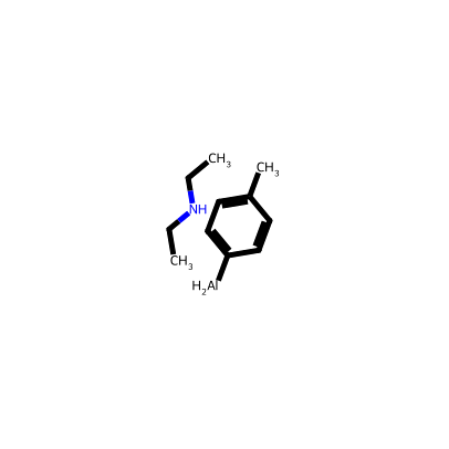 CCNCC.Cc1cc[c]([AlH2])cc1